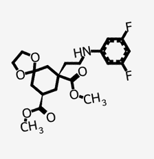 COC(=O)[C@H]1CC2(C[C@](CCNc3cc(F)cc(F)c3)(C(=O)OC)C1)OCCO2